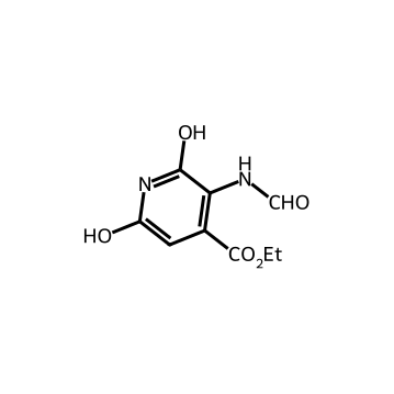 CCOC(=O)c1cc(O)nc(O)c1NC=O